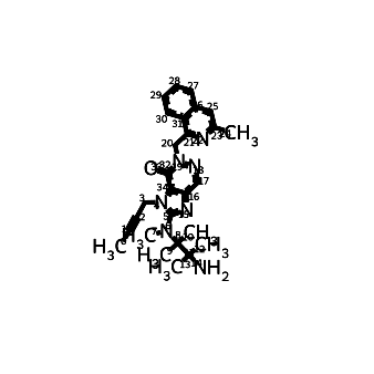 CC#CCn1c(N(C)C(C)(C)C(C)(C)N)nc2cnn(Cc3nc(C)cc4ccccc34)c(=O)c21